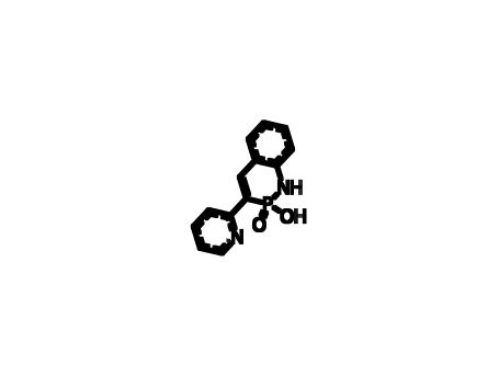 O=P1(O)Nc2ccccc2C=C1c1ccccn1